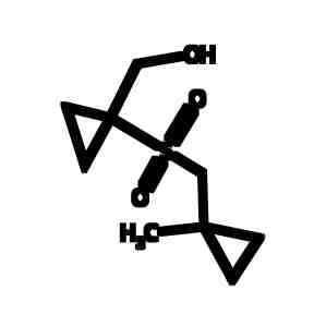 CC1(CS(=O)(=O)C2(CO)CC2)CC1